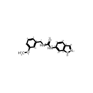 COc1cccc(CNC(=O)Nc2ccc3cnsc3c2)c1